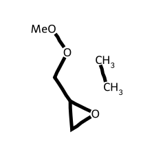 CC.COOCC1CO1